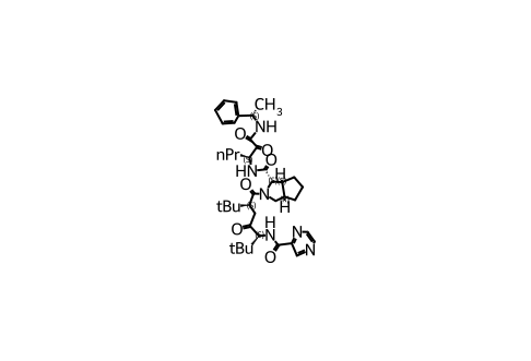 CCC[C@H](NC(=O)[C@@H]1[C@H]2CCC[C@H]2CN1C(=O)[C@@H](CC(=O)[C@@H](NC(=O)c1cnccn1)C(C)(C)C)C(C)(C)C)C(=O)C(=O)N[C@@H](C)c1ccccc1